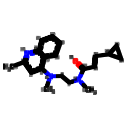 Cc1cc(N(C)CCN(C)C(=O)C=CC2CC2)c2ccccc2n1